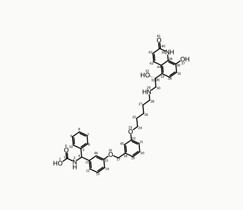 O=C(O)NC(c1ccccc1)c1cccc(OCc2cccc(OCCCCCNC[C@H](O)c3ccc(O)c4[nH]c(=O)ccc34)c2)c1